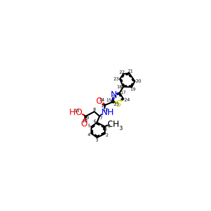 Cc1ccccc1C(CC(=O)O)NC(=O)c1nc(-c2ccccc2)cs1